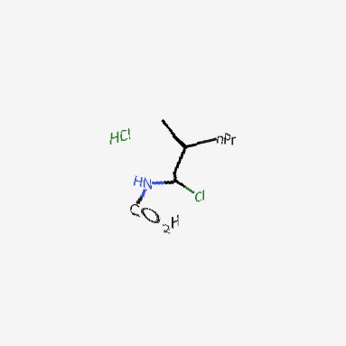 CCCC(C)C(Cl)NC(=O)O.Cl